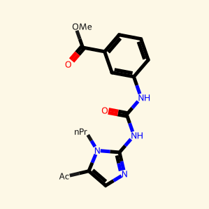 CCCn1c(C(C)=O)cnc1NC(=O)Nc1cccc(C(=O)OC)c1